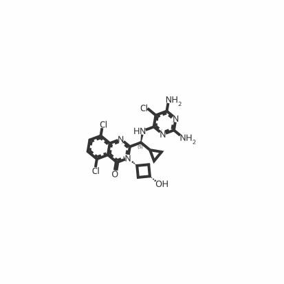 Nc1nc(N)c(Cl)c(N[C@H](c2nc3c(Cl)ccc(Cl)c3c(=O)n2[C@H]2C[C@@H](O)C2)C2CC2)n1